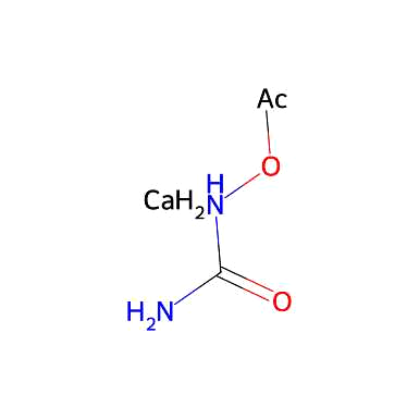 CC(=O)ONC(N)=O.[CaH2]